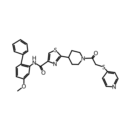 COc1ccc(-c2ccccc2)c(NC(=O)c2csc(C3CCN(C(=O)CSc4ccncc4)CC3)n2)c1